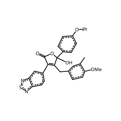 COc1ccc(CC2=C(c3ccc4nsnc4c3)C(=O)OC2(O)c2ccc(OC(C)C)cc2)cc1C